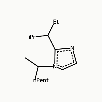 CCCCCC(C)n1ccnc1C(CC)C(C)C